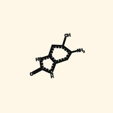 Nc1cc2[nH]c(=O)[nH]c2cc1O